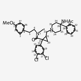 COc1ccc(CCN(C)C(=O)C2(c3ccc(Cl)c(Cl)c3)CC2CN2CCC(NC(C)=O)(c3ccccc3)CC2)cc1